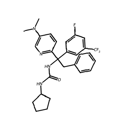 CN(C)c1ccc(C(Cc2ccccc2)(NC(=O)NC2CCCC2)c2cc(F)cc(C(F)(F)F)c2)nc1